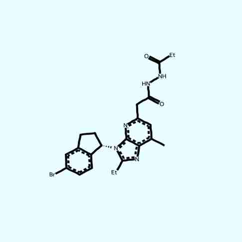 CCC(=O)NNC(=O)Cc1cc(C)c2nc(CC)n([C@H]3CCc4cc(Br)ccc43)c2n1